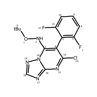 CC(C)(C)ONc1c(-c2c(F)cccc2F)c(Cl)nc2ncnn12